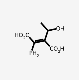 CC(O)C(C(=O)O)=C(P)C(=O)O